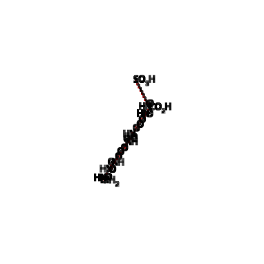 CCN[C@@H](CCCCNC(=O)CCC(=O)NCCCOCCOCCOCCCNC(=O)CCC(=O)NCCCOCCOCCOCCCNC(=O)CC[C@H](NC(=O)CCCCCCCCCCCCCCCS(=O)(=O)O)C(=O)O)C(=O)P